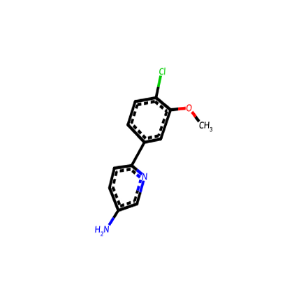 COc1cc(-c2ccc(N)cn2)ccc1Cl